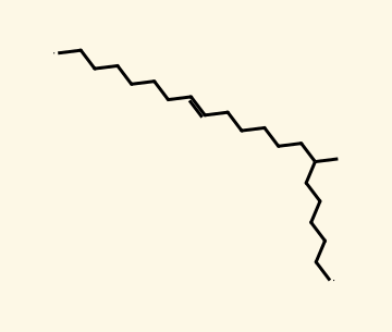 [CH2]CCCCCC/C=C/CCCCCC(C)CCCCC[CH2]